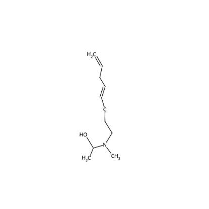 C=CCC=CCCCN(C)C(C)O